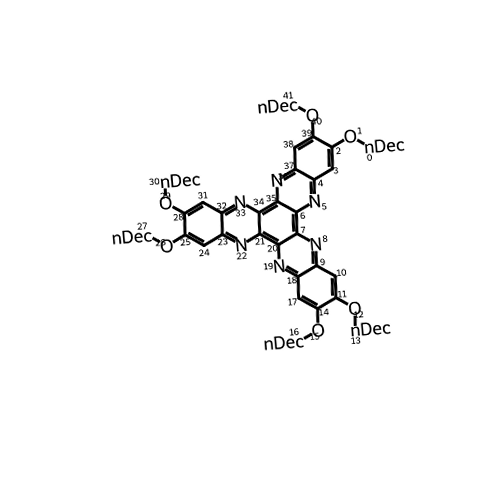 CCCCCCCCCCOc1cc2nc3c4nc5cc(OCCCCCCCCCC)c(OCCCCCCCCCC)cc5nc4c4nc5cc(OCCCCCCCCCC)c(OCCCCCCCCCC)cc5nc4c3nc2cc1OCCCCCCCCCC